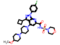 COC1CCN(C2CCN(c3cc(C(=O)NS(=O)(=O)N4CCOCC4)nc4c3c(C3CCC3)nn4-c3ccc(F)cc3)CC2)CC1